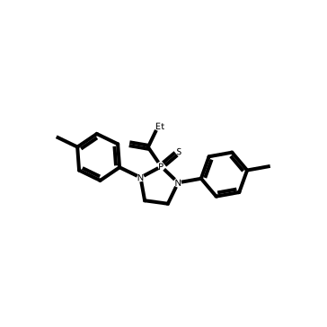 C=C(CC)P1(=S)N(c2ccc(C)cc2)CCN1c1ccc(C)cc1